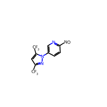 O=Nc1ccc(-n2nc(C(F)(F)F)cc2C(F)(F)F)cn1